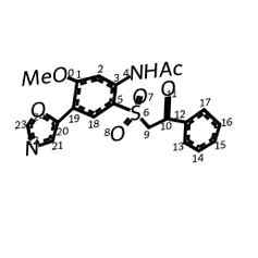 COc1cc(NC(C)=O)c(S(=O)(=O)CC(=O)c2ccccc2)cc1-c1cnco1